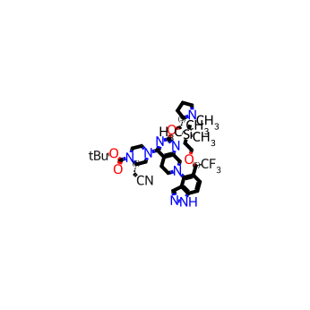 CN1CCC[C@H]1COc1nc2c(c(N3CCN(C(=O)OC(C)(C)C)[C@@H](CC#N)C3)n1)CCN(c1c([C@H](OCC[Si](C)(C)C)C(F)(F)F)ccc3[nH]ncc13)C2